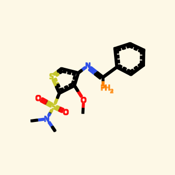 COc1c(/N=C(\P)c2ccccc2)csc1S(=O)(=O)N(C)C